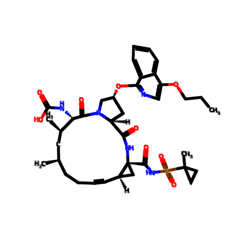 CCCOc1cnc(O[C@@H]2C[C@H]3C(=O)N[C@]4(C(=O)NS(=O)(=O)C5(C)CC5)C[C@H]4/C=C\CC[C@@H](C)C[C@@H](C)[C@H](NC(=O)O)C(=O)N3C2)c2ccccc12